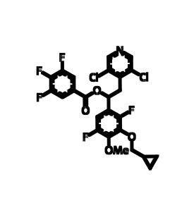 COc1c(F)cc(C(Cc2c(Cl)cncc2Cl)OC(=O)c2cc(F)c(F)c(F)c2)c(F)c1OCC1CC1